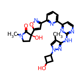 Cc1cn(C2CC(O)C2)nc1Nc1nccc(-c2cccc(-c3cc([C@]4(O)CCN(C)C4=O)on3)n2)n1